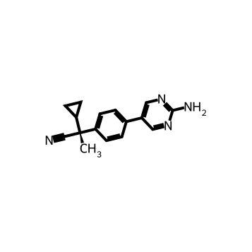 C[C@](C#N)(c1ccc(-c2cnc(N)nc2)cc1)C1CC1